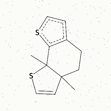 CC12C=CSC1(C)c1sccc1CC2